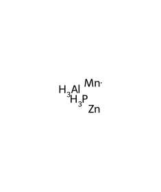 P.[AlH3].[Mn].[Zn]